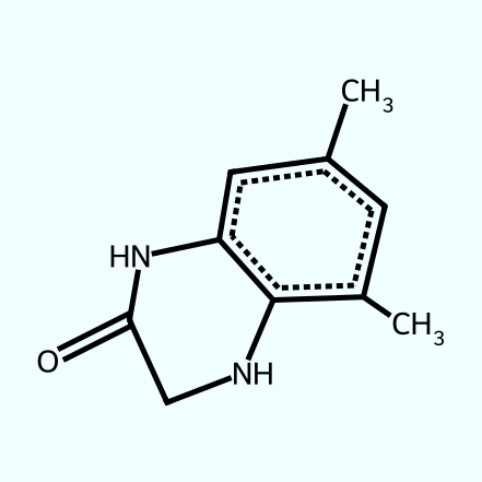 Cc1cc(C)c2c(c1)NC(=O)CN2